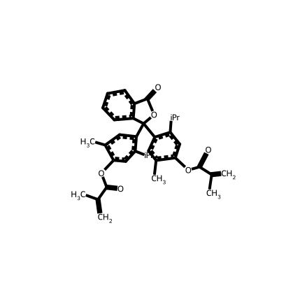 C=C(C)C(=O)Oc1cc(C(C)C)c(C2(c3cc(C)c(OC(=O)C(=C)C)cc3C(C)C)OC(=O)c3ccccc32)cc1C